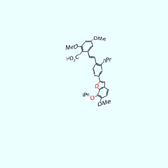 CCCc1cc(-c2cc3ccc(OC)c(OC(C)C)c3o2)ccc1C=Cc1cc(OC)cc(OC)c1C(=O)O